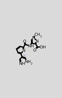 Cn1cc(NC(=O)c2cccc(/C(C=N)=C/N)n2)c(C(=O)O)n1